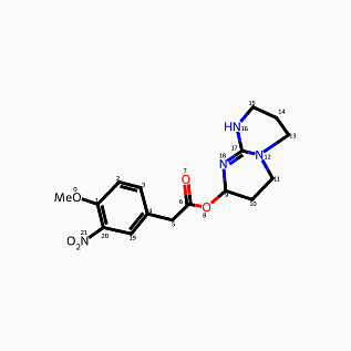 COc1ccc(CC(=O)OC2CCN3CCCNC3=N2)cc1[N+](=O)[O-]